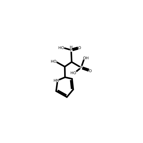 O=[PH](O)C(C(O)C1C=CC=CN1)P(=O)(O)O